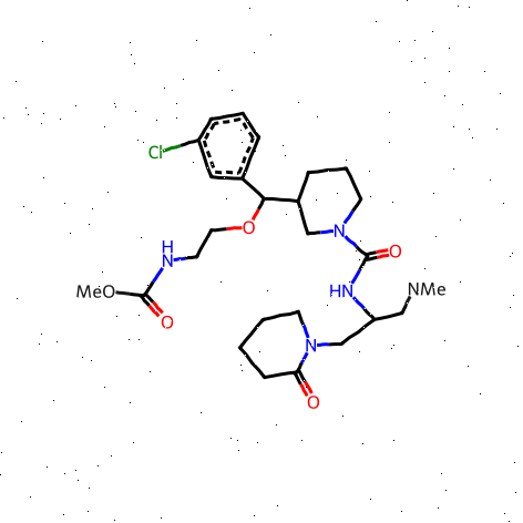 CNCC(CN1CCCCC1=O)NC(=O)N1CCCC(C(OCCNC(=O)OC)c2cccc(Cl)c2)C1